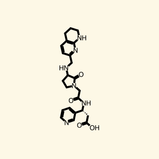 O=C(O)C[C@@H](NC(=O)CN1CCC(NCc2ccc3c(n2)NCCC3)C1=O)c1cccnc1